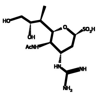 CC(=O)N[C@H]1[C@H]([C@H](C)[C@H](O)CO)O[C@H](S(=O)(=O)O)C[C@@H]1NC(=N)N